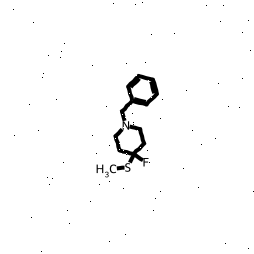 CSC1(F)CCN(Cc2ccccc2)CC1